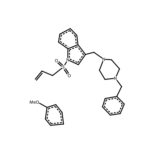 C=CCS(=O)(=O)n1cc(CN2CCN(Cc3ccccc3)CC2)c2ccccc21.COc1ccccc1